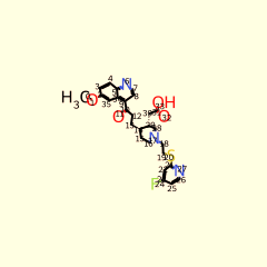 COc1ccc2nccc(C(=O)CC[C@@H]3CCN(CCSc4cc(F)ccn4)C[C@H]3CC(=O)O)c2c1